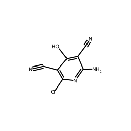 N#Cc1c(N)nc(Cl)c(C#N)c1O